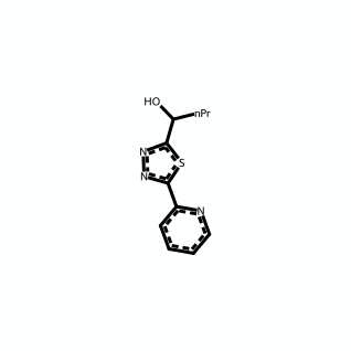 CCCC(O)c1nnc(-c2ccccn2)s1